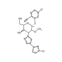 COC1C(n2cc(-c3nc(Cl)cs3)nn2)[C@@H](O)C(CO)O[C@@H]1Sc1cc(Cl)cnc1C#N